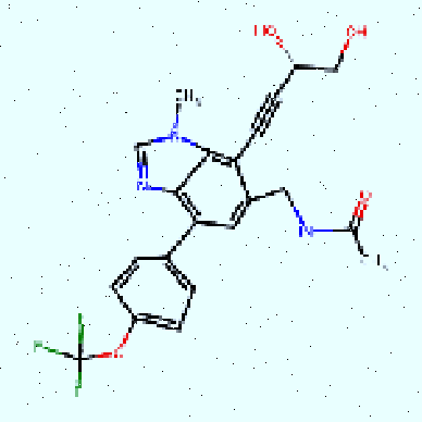 CC(=O)NCc1cc(-c2ccc(OC(F)(F)F)cc2)c2ncn(C)c2c1C#C[C@H](O)CO